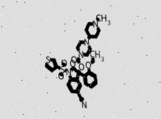 CCOc1ccccc1C1(OC(=O)N2CCN(C3CCN(C)CC3)CC2)C(=O)N(S(=O)(=O)c2ccsc2)c2ccc(C#N)cc21